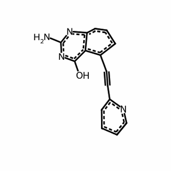 Nc1nc(O)c2c(C#Cc3ccccn3)cccc2n1